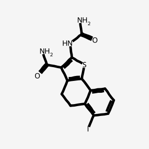 NC(=O)Nc1sc2c(c1C(N)=O)CCc1c(I)cccc1-2